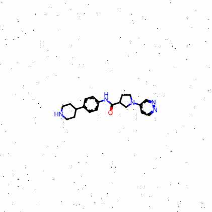 O=C(Nc1ccc(C2CCNCC2)cc1)C1CCN(c2ccnnc2)C1